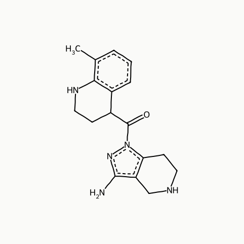 Cc1cccc2c1NCCC2C(=O)n1nc(N)c2c1CCNC2